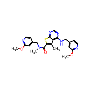 COc1cc(CNc2ncnc3sc(C(=O)N(C)Cc4ccnc(OC)c4)c(C)c23)ccn1